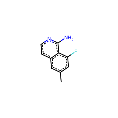 Cc1cc(F)c2c(N)nccc2c1